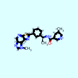 Cc1cncc(C(=O)N[C@@H](C)c2cccc(-c3nc4c(ncc5ncn(C)c54)s3)c2)c1